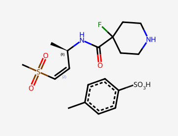 C[C@H](/C=C\S(C)(=O)=O)NC(=O)C1(F)CCNCC1.Cc1ccc(S(=O)(=O)O)cc1